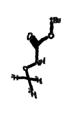 [2H]C([2H])([2H])ONC(=O)OC(C)(C)C